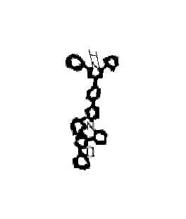 C1=CCCC(C2=CC(C3=CCC(c4ccc5c(c4)c4ccccc4n5C4C=CC=CC4c4cccc5c6c(oc45)CCC=C6)C=C3)=CC(c3ccccc3)N2)=C1